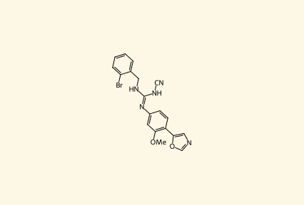 COc1cc(/N=C(\NC#N)NCc2ccccc2Br)ccc1-c1cnco1